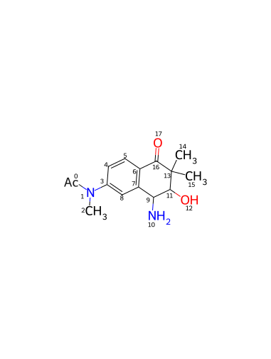 CC(=O)N(C)c1ccc2c(c1)C(N)C(O)C(C)(C)C2=O